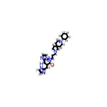 O=C(NCCCN1CCC2(CCN(C3CCCCC3)CC2)C1)C(Cc1ncc[nH]1)Cc1ncc[nH]1